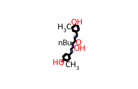 CCCC/C(C(=O)/C=C/c1ccc(O)c(C)c1)=C(O)\C=C\c1ccc(O)c(C)c1